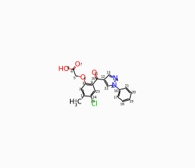 Cc1cc(OCC(=O)O)c(C(=O)c2cnn(-c3ccccc3)c2)cc1Cl